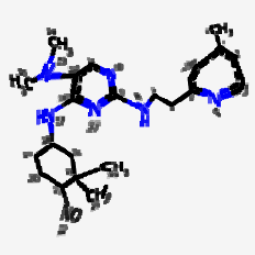 Cc1ccnc(CCNc2ncc(N(C)C)c(N[C@@H]3CCC(N=O)C(C)(C)C3)n2)c1